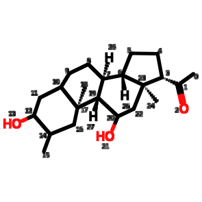 CC(=O)[C@H]1CC[C@H]2[C@@H]3CCC4CC(O)C(C)C[C@]4(C)[C@H]3C(O)C[C@]12C